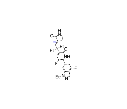 CCn1ncc2c(F)cc(-c3[nH]c(=O)c(C(/C=C4\CCNC4=O)(CC)CC)cc3F)cc21